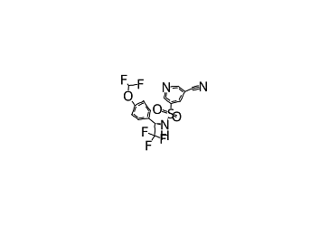 N#Cc1cncc(S(=O)(=O)N[C@H](c2ccc(OC(F)F)cc2)C(F)(F)F)c1